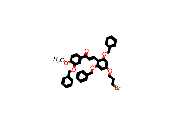 COc1ccc(C(=O)C=CC2C(OCc3ccccc3)=CC(OCCCBr)=CC2OCc2ccccc2)cc1OCc1ccccc1